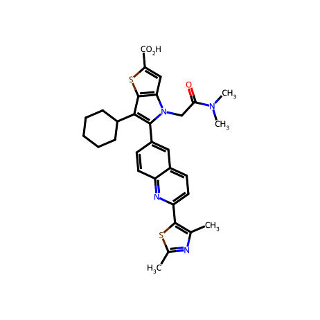 Cc1nc(C)c(-c2ccc3cc(-c4c(C5CCCCC5)c5sc(C(=O)O)cc5n4CC(=O)N(C)C)ccc3n2)s1